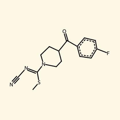 CSC(=NC#N)N1CCC(C(=O)c2ccc(F)cc2)CC1